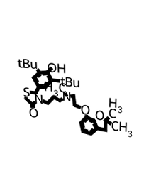 CN(CCCN1C(=O)CSC1c1cc(C(C)(C)C)c(O)c(C(C)(C)C)c1)CCOc1cccc2c1OC(C)(C)C2